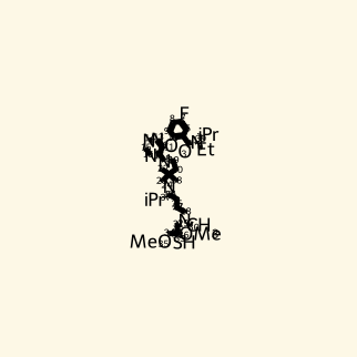 CCN(C(=O)c1cc(F)ccc1Oc1nncnc1N1CCC2(C1)CN([C@H](CCCN(C)C[C@](S)(COC)OC)C(C)C)C2)C(C)C